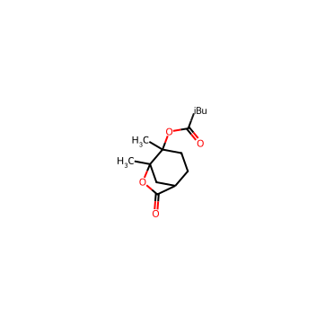 CCC(C)C(=O)OC1(C)CCC2CC1(C)OC2=O